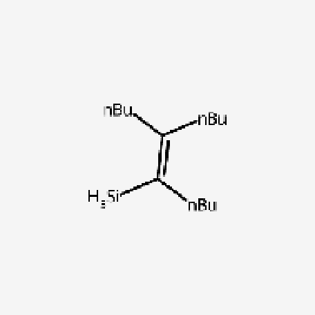 CCCCC([SiH3])=C(CCCC)CCCC